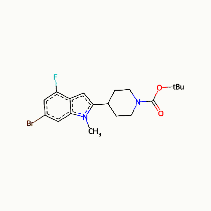 Cn1c(C2CCN(C(=O)OC(C)(C)C)CC2)cc2c(F)cc(Br)cc21